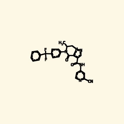 CC1Cn2ncc(C(=O)Nc3ccnc(C#N)c3)c2C(=O)N1c1ccc(C(F)(F)c2ccccc2)cc1